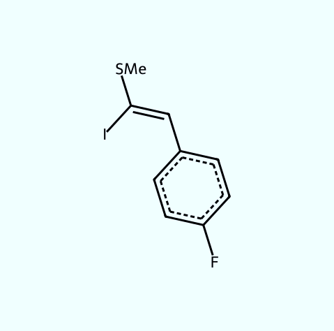 CS/C(I)=C/c1ccc(F)cc1